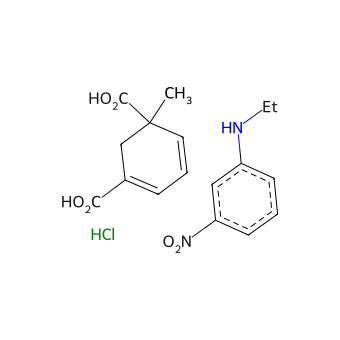 CC1(C(=O)O)C=CC=C(C(=O)O)C1.CCNc1cccc([N+](=O)[O-])c1.Cl